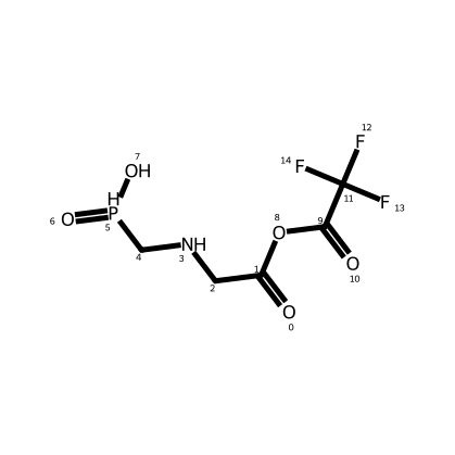 O=C(CNC[PH](=O)O)OC(=O)C(F)(F)F